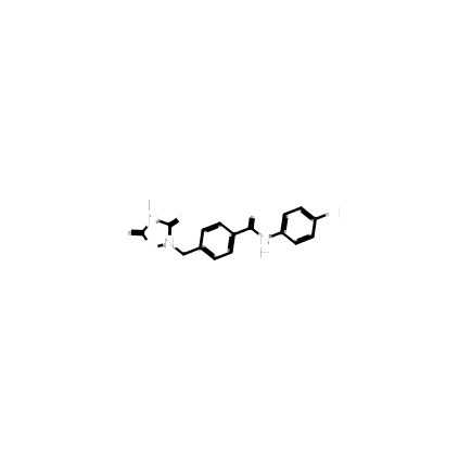 O=C(Nc1ccc(Cl)cc1)c1ccc(Cn2sc(=O)[nH]c2=O)cc1